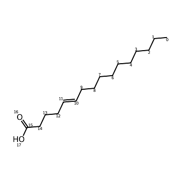 CCCCCCCCCC/C=C/CCCC(=O)O